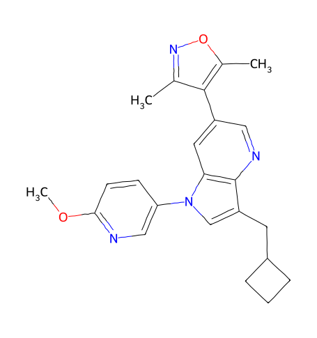 COc1ccc(-n2cc(CC3CCC3)c3ncc(-c4c(C)noc4C)cc32)cn1